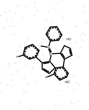 C[Si](c1ccccc1)=[Zr]([C]1=C(c2cccc(F)c2)C=CC1)[C]1=C(c2cccc(F)c2)C=CC1.Cl.Cl